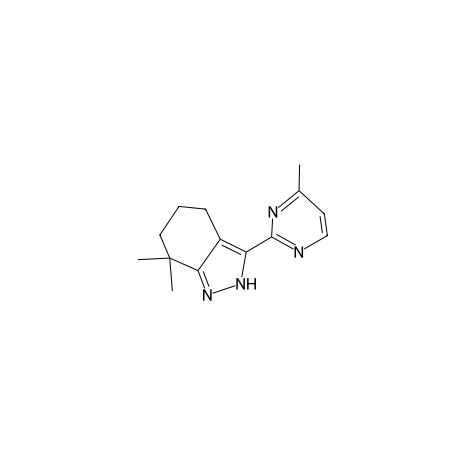 Cc1ccnc(-c2[nH]nc3c2CCCC3(C)C)n1